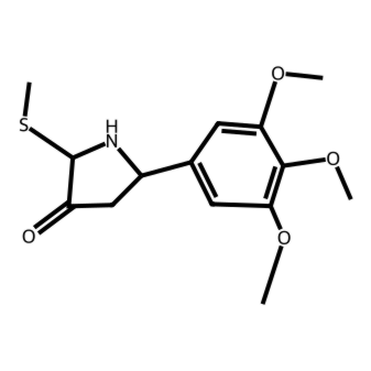 COc1cc(C2CC(=O)C(SC)N2)cc(OC)c1OC